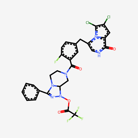 O=C(c1cc(Cc2c[nH]c(=O)c3cc(Cl)c(Cl)n23)ccc1F)N1CCN2C(c3ccccc3)=[N+]N(OC(=O)C(F)(F)F)C2C1